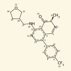 C[C@H]1N=Cc2c(-c3ccc(C(F)(F)F)cc3)cnc(NCC3CCOC3)c2C1=O